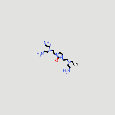 N#CCN(CCN)CCN1CCN(CCN(CCN)CCN)C1=O